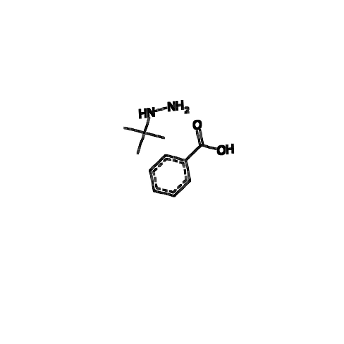 CC(C)(C)NN.O=C(O)c1ccccc1